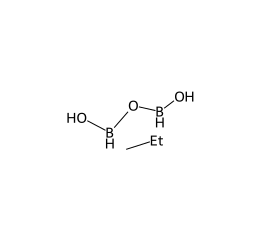 CCC.OBOBO